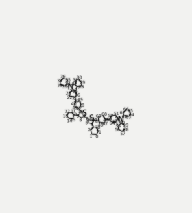 c1ccc(-c2cc(C3CC(c4ccccc4)C(c4ccc(-c5ccc6c(c5)c5ccccc5n6-c5ccccc5)cc4)S3)sc2-c2ccc(-c3ccc4c(c3)c3ccccc3n4-c3ccccc3)cc2)cc1